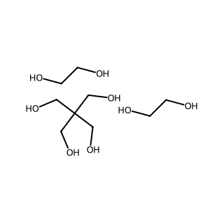 OCC(CO)(CO)CO.OCCO.OCCO